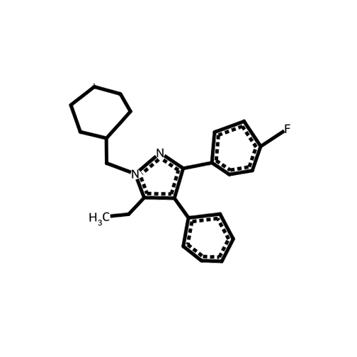 CCc1c(-c2ccccc2)c(-c2ccc(F)cc2)nn1CC1CC[CH]CC1